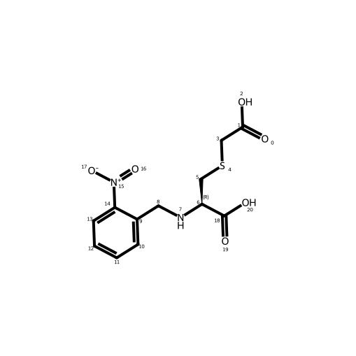 O=C(O)CSC[C@H](NCc1ccccc1[N+](=O)[O-])C(=O)O